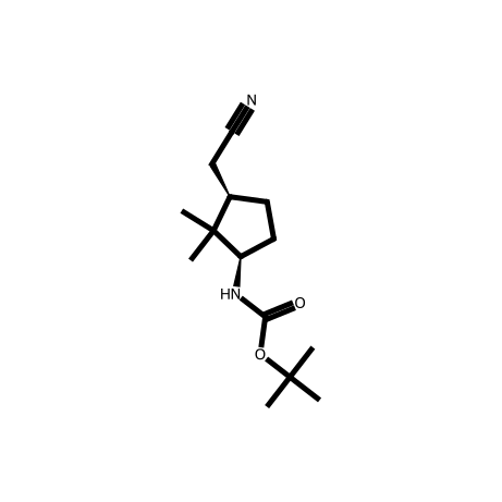 CC(C)(C)OC(=O)N[C@@H]1CC[C@H](CC#N)C1(C)C